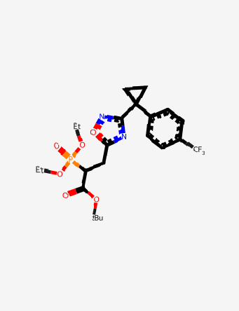 CCOP(=O)(OCC)C(Cc1nc(C2(c3ccc(C(F)(F)F)cc3)CC2)no1)C(=O)OC(C)(C)C